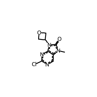 Cn1c(=O)n(C2COC2)c2nc(Cl)ncc21